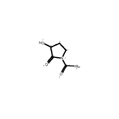 CC(C)(C)C(=O)N1CCC(O)C1=O